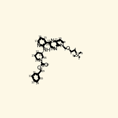 C[Si](C)(C)CCOCn1ccc2nc(-c3cccnc3N[C@H]3CCCN(C(=O)OCc4ccccc4)C3)cnc21